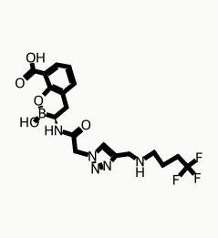 O=C(Cn1cc(CNCCCC(F)(F)F)nn1)N[C@H]1Cc2cccc(C(=O)O)c2OB1O